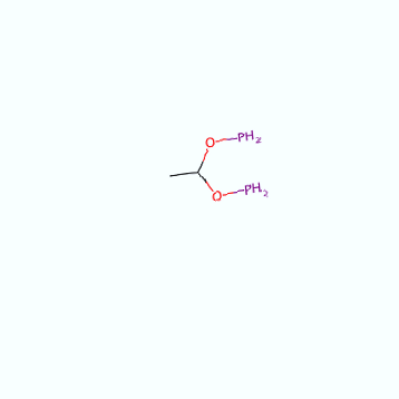 CC(OP)OP